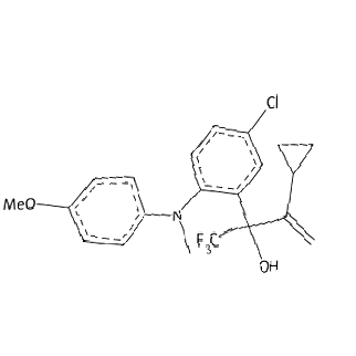 C=C(C1CC1)C(O)(c1cc(Cl)ccc1N(C)c1ccc(OC)cc1)C(F)(F)F